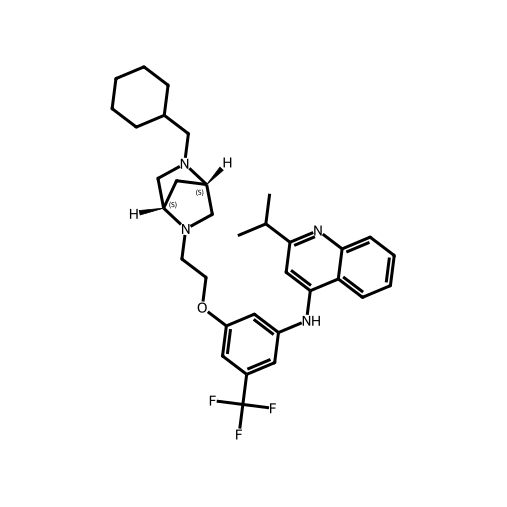 CC(C)c1cc(Nc2cc(OCCN3C[C@@H]4C[C@H]3CN4CC3CCCCC3)cc(C(F)(F)F)c2)c2ccccc2n1